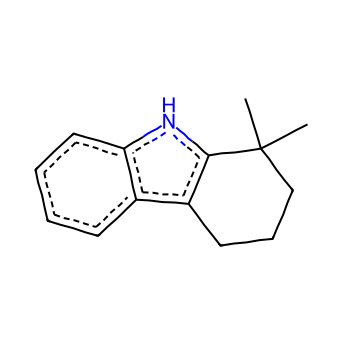 CC1(C)CCCc2c1[nH]c1ccccc21